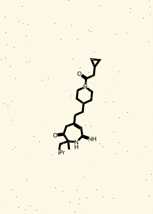 CC(C)CC1(C)NC(=N)C=C(CCC2CCN(C(=O)CC3CC3)CC2)CC1=O